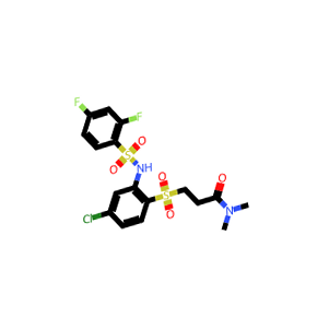 CN(C)C(=O)CCS(=O)(=O)c1ccc(Cl)cc1NS(=O)(=O)c1ccc(F)cc1F